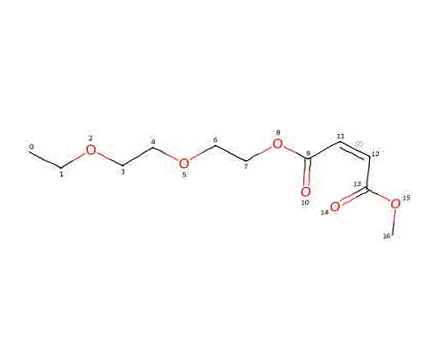 CCOCCOCCOC(=O)/C=C\C(=O)OC